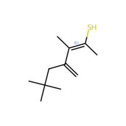 C=C(CC(C)(C)C)/C(C)=C(\C)S